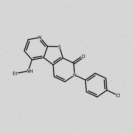 CCNc1ccnc2sc3c(=O)n(-c4ccc(Cl)cc4)ccc3c12